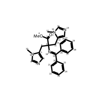 COC(=O)C(Cc1cncn1C)(Cc1cncn1C)N=C(c1ccccc1)c1ccccc1